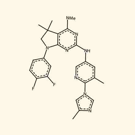 CNc1nc(Nc2cnc(-n3cnc(C)c3)c(C)c2)nc2c1C(C)(C)CN2c1ccc(F)c(F)c1